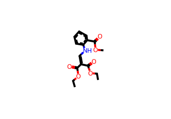 CCOC(=O)C(=CNc1ccccc1C(=O)OC)C(=O)OCC